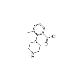 Cc1cccc(C(=O)Cl)c1N1CCNCC1